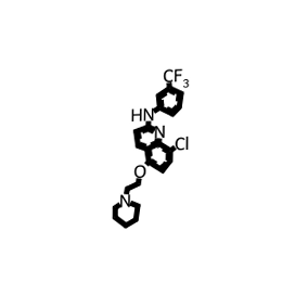 FC(F)(F)c1cccc(Nc2ccc3c(OCCN4CCCCC4)ccc(Cl)c3n2)c1